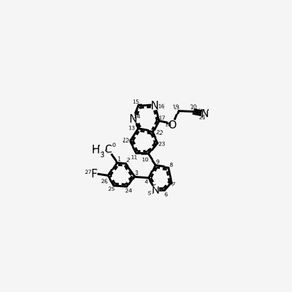 Cc1cc(-c2ncccc2-c2ccc3ncnc(OCC#N)c3c2)ccc1F